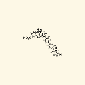 COc1cc(C(=O)O)c(F)cc1NS(=O)(=O)c1cnn(-c2ccc(-c3ccc(C45CC6C[C@H](C[C@H]4C6)C5)cc3)cc2)c1